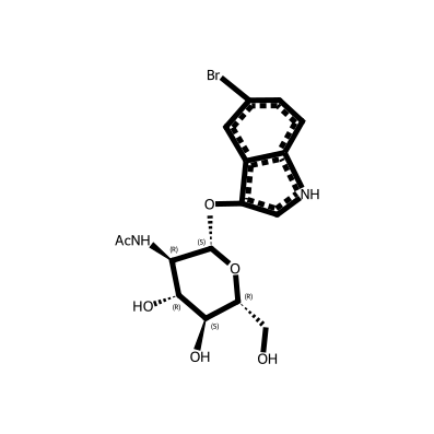 CC(=O)N[C@H]1[C@H](Oc2c[nH]c3ccc(Br)cc23)O[C@H](CO)[C@@H](O)[C@@H]1O